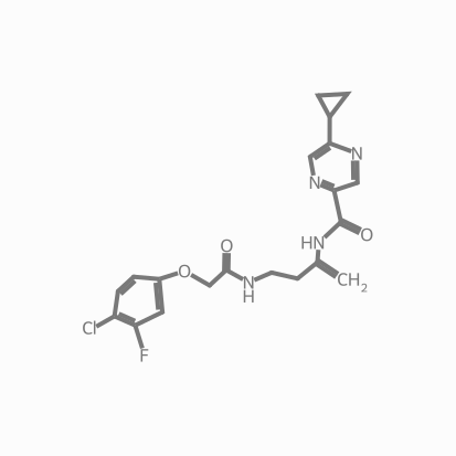 C=C(CCNC(=O)COc1ccc(Cl)c(F)c1)NC(=O)c1cnc(C2CC2)cn1